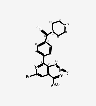 COC(=O)c1cc(Br)nc(-c2ccc(C(=O)N3CCOCC3)cc2)c1N=[N+]=[N-]